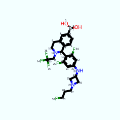 OB(O)c1ccc2c(c1)CCN(CC(F)(F)F)C2c1c(F)cc(NC2CN(CCCF)C2)cc1F